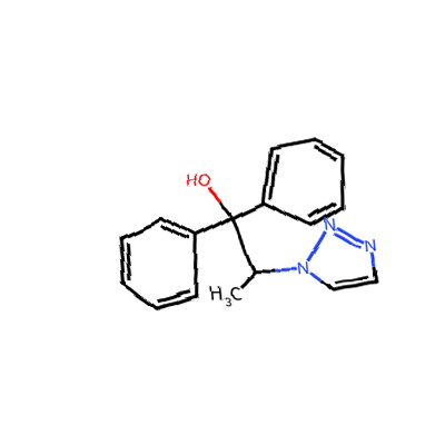 CC(n1ccnn1)C(O)(c1ccccc1)c1ccccc1